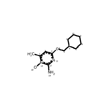 Cc1cc(OCC2CCCCC2)nc(N)[n+]1[O-]